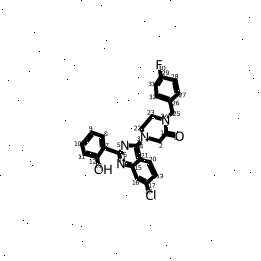 O=C1CN(c2nc(-c3ccccc3O)nc3cc(Cl)ccc23)CCN1Cc1ccc(F)cc1